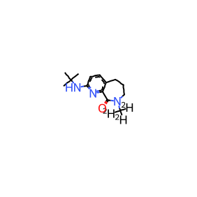 [2H]C([2H])([2H])N1CCCc2ccc(NC(C)(C)C)nc2C1=O